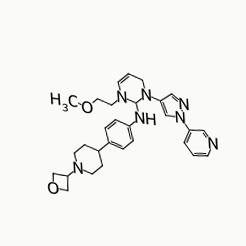 COCCN1C=CCN(c2cnn(-c3cccnc3)c2)C1Nc1ccc(C2CCN(C3COC3)CC2)cc1